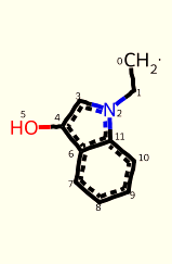 [CH2]Cn1cc(O)c2ccccc21